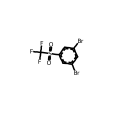 O=S(=O)(c1cc(Br)cc(Br)c1)C(F)(F)F